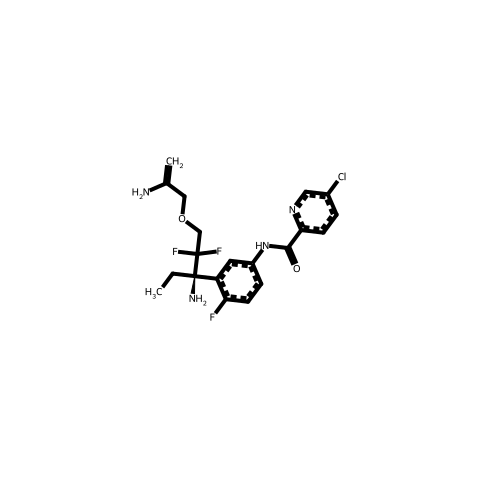 C=C(N)COCC(F)(F)[C@@](N)(CC)c1cc(NC(=O)c2ccc(Cl)cn2)ccc1F